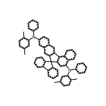 Cc1ccc(C)c(N(c2ccccc2)c2ccc3cc4c(cc3c2)C2(c3ccccc3-c3ccccc32)c2cc(N(c3ccccc3)c3cc(C)ccc3C)c3ccccc3c2-4)c1